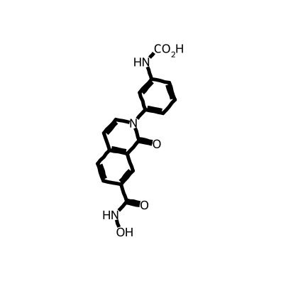 O=C(O)Nc1cccc(-n2ccc3ccc(C(=O)NO)cc3c2=O)c1